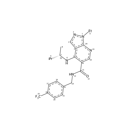 CCn1ncc2c(N[C@@H](C)C(C)C)c(C(=O)NCc3ccc(C(F)(F)F)cc3)cnc21